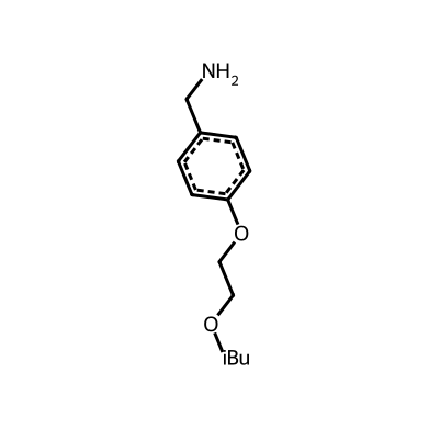 CCC(C)OCCOc1ccc(CN)cc1